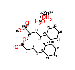 O.O.O=C([O-])CCCC1CCCCC1.O=C([O-])CCCC1CCCCC1.[Zn+2]